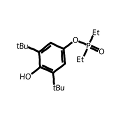 CCP(=O)(CC)Oc1cc(C(C)(C)C)c(O)c(C(C)(C)C)c1